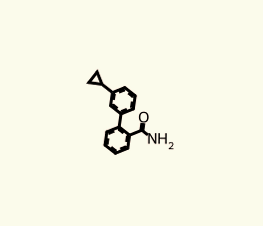 NC(=O)c1ccccc1-c1cccc(C2CC2)c1